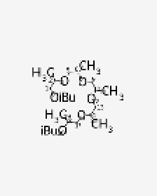 CC(C)COCC(C)OCC(C)OCC(C)OCC(C)OCC(C)OCC(C)C